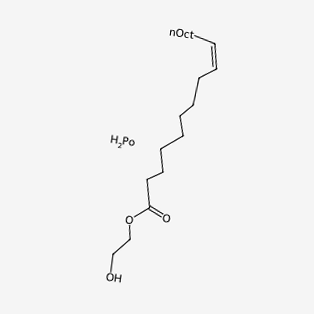 CCCCCCCC/C=C\CCCCCCCC(=O)OCCO.[PoH2]